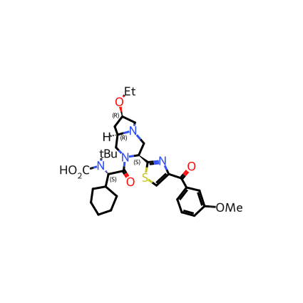 CCO[C@@H]1C[C@@H]2CN(C(=O)[C@H](C3CCCCC3)N(C(=O)O)C(C)(C)C)[C@H](c3nc(C(=O)c4cccc(OC)c4)cs3)CN2C1